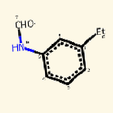 CCc1cccc(N[C]=O)c1